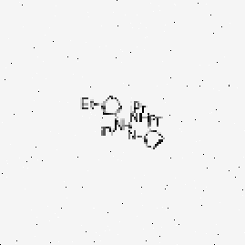 CCc1cccc(N(C(=Nc2ccccc2C(C)C)NC(C)C)C(C)C)c1